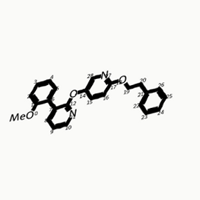 COc1ccccc1-c1cccnc1Oc1ccc(OCCc2ccccc2)nc1